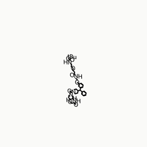 CC(C)(C)OC(=O)NCCOCCC(=O)NCCOc1cccc(C(c2ccccc2)C2CCN(C(=O)N3CC[C@@H]4OCC(=O)N[C@@H]4C3)CC2)c1